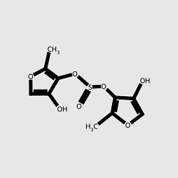 Cc1occ(O)c1OS(=O)Oc1c(O)coc1C